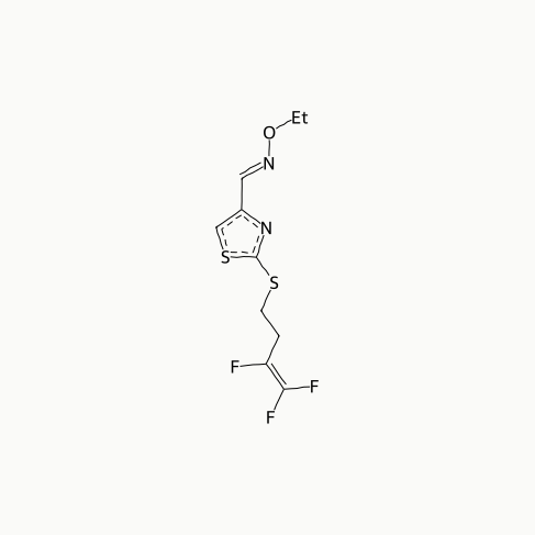 CCON=Cc1csc(SCCC(F)=C(F)F)n1